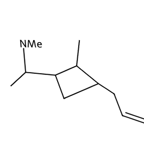 C=CCC1CC(C(C)NC)C1C